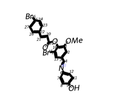 COc1cc(/C=N/c2ccc(O)cc2)cc(Br)c1OC(=O)C=Cc1ccc(Br)cc1